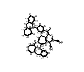 C=C(C#N)/C(C#N)=N\C(C1=CC=C(N2C3=C(C=CCC=C3C)Cc3ccccc32)C=CC1)=C(/C)c1ccc(N2c3ccccc3Cc3ccccc32)cc1